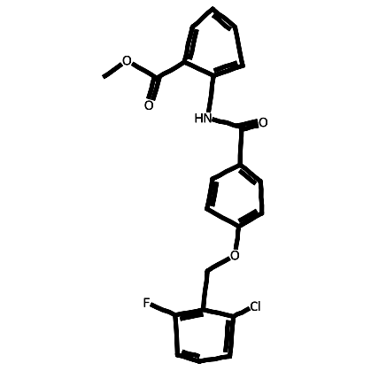 COC(=O)c1ccccc1NC(=O)c1ccc(OCc2c(F)cccc2Cl)cc1